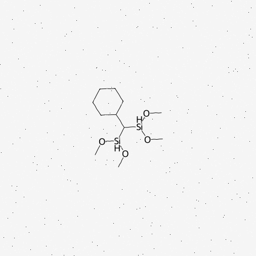 CO[SiH](OC)C(C1CCCCC1)[SiH](OC)OC